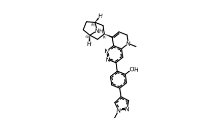 CN1CC=C([C@@H]2C[C@H]3CC[C@@H](C2)N3)c2nnc(-c3ccc(-c4cnn(C)c4)cc3O)cc21